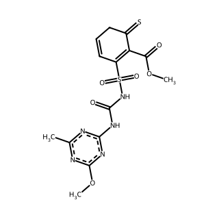 COC(=O)C1=C(S(=O)(=O)NC(=O)Nc2nc(C)nc(OC)n2)C=CCC1=S